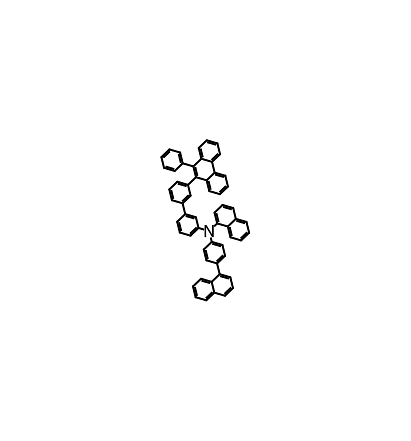 c1ccc(-c2c(-c3cccc(-c4cccc(N(c5ccc(-c6cccc7ccccc67)cc5)c5cccc6ccccc56)c4)c3)c3ccccc3c3ccccc23)cc1